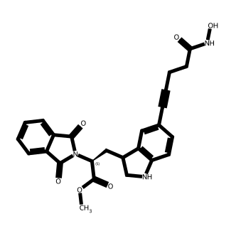 COC(=O)[C@H](CC1CNc2ccc(C#CCCC(=O)NO)cc21)N1C(=O)c2ccccc2C1=O